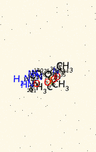 CC(C)S(=O)(=O)c1cc(-c2ccn3nc(N)c(C(=O)NC4CC4)c3n2)cc2c1C(=O)N([C@@H](C)C1CC1)C2